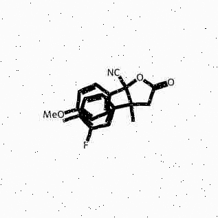 COc1ccc(C2(C#N)OC(=O)CC2(C)c2ccc(C)c(F)c2)cc1